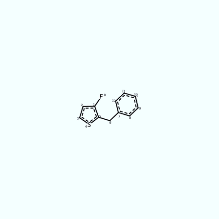 Fc1ccsc1Cc1cc[c]cc1